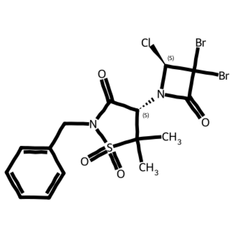 CC1(C)[C@@H](N2C(=O)C(Br)(Br)[C@@H]2Cl)C(=O)N(Cc2ccccc2)S1(=O)=O